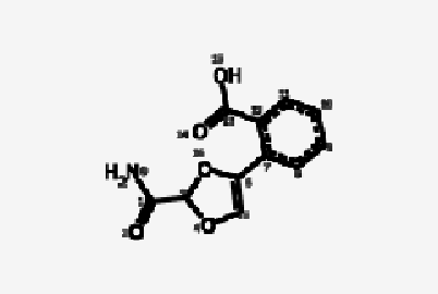 NC(=O)C1O[C]=C(c2ccccc2C(=O)O)O1